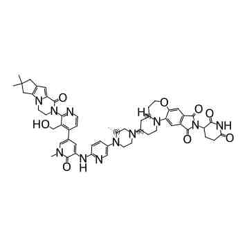 C[C@@H]1CN([C@@H]2CCN3c4cc5c(cc4OCC[C@H]3C2)C(=O)N(C2CCC(=O)NC2=O)C5=O)CCN1c1ccc(Nc2cc(-c3ccnc(N4CCn5c(cc6c5CC(C)(C)C6)C4=O)c3CO)cn(C)c2=O)nc1